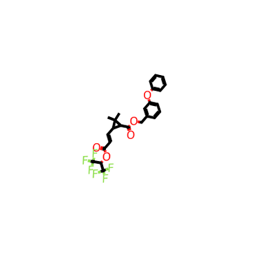 CC1(C)C(C=CC(=O)OC(C(F)(F)F)C(F)(F)F)C1C(=O)OCc1cccc(Oc2ccccc2)c1